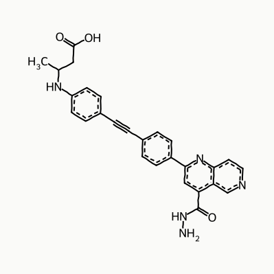 CC(CC(=O)O)Nc1ccc(C#Cc2ccc(-c3cc(C(=O)NN)c4cnccc4n3)cc2)cc1